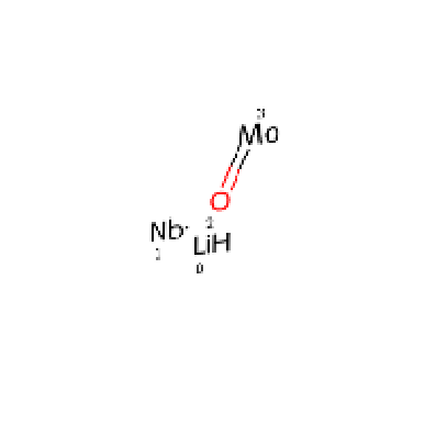 [LiH].[Nb].[O]=[Mo]